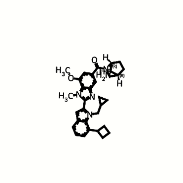 COc1cc(C(=O)N2C[C@H]3CC[C@@H]2[C@@H]3N)cc2nc(-c3cc4cccc(C5CCC5)c4n3CC3CC3)n(C)c12